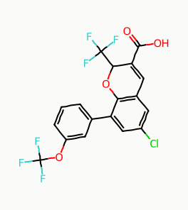 O=C(O)C1=Cc2cc(Cl)cc(-c3cccc(OC(F)(F)F)c3)c2OC1C(F)(F)F